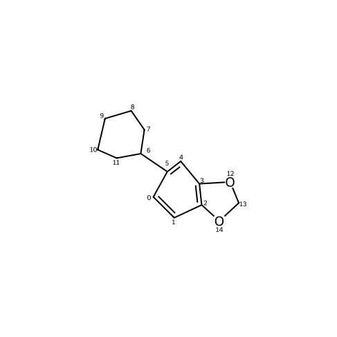 c1cc2c(cc1C1CCCCC1)OCO2